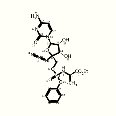 CCOC(=O)[C@@H](C)NP(=O)(OC[C@@]1(N=[N+]=[N-])O[C@@H](n2ccc(N)nc2=O)[C@H](O)[C@@H]1O)Oc1ccccc1